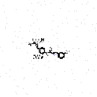 COc1cc(/C=N/C(C(=O)O)C(C)C)ccc1OC(=O)/C=C/c1cccc(Br)c1